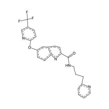 O=C(NCCCc1ccccn1)c1ccc2cc(Oc3ccc(C(F)(F)F)cn3)ccc2n1